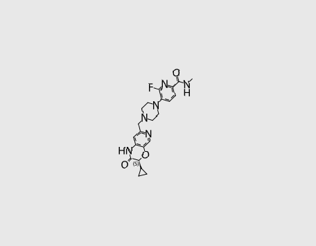 CNC(=O)c1ccc(N2CCN(Cc3cc4c(cn3)O[C@@H](C3CC3)C(=O)N4)CC2)c(F)n1